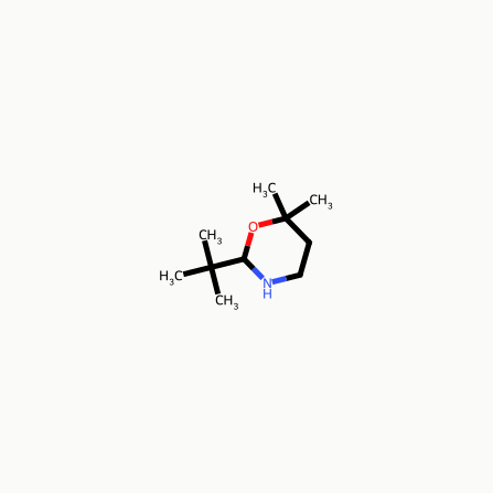 CC1(C)CCNC(C(C)(C)C)O1